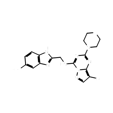 Cc1ccc2[nH]c(CNc3nc(N4CCOCC4)nc4c(Br)cnn34)nc2c1